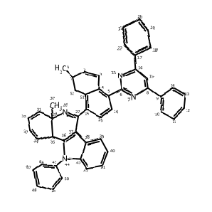 CC1C=Cc2c(-c3nc(-c4ccccc4)cc(-c4ccccc4)n3)ccc(C3=NC4(C)C=CC=CC4c4c3c3ccccc3n4-c3ccccc3)c2C1